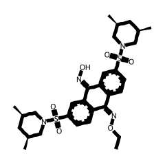 [CH2]CON=C1c2ccc(S(=O)(=O)N3C[C@H](C)C[C@H](C)C3)cc2C(=NO)c2cc(S(=O)(=O)N3C[C@H](C)C[C@H](C)C3)ccc21